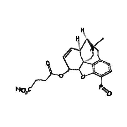 CN1CC[C@]23c4c5ccc(P=O)c4OC2C(OC(=O)CCC(=O)O)C=C[C@H]3[C@H]1C5